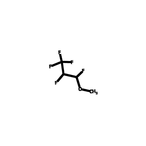 COC(F)C(F)C(F)(F)F